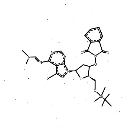 CN(C)/C=N/c1ncnc2c1c(I)cn2[C@H]1CC(ON2C(=O)c3ccccc3C2=O)[C@@H](CO[Si](C)(C)C(C)(C)C)O1